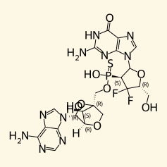 Nc1nc2c(ncn2C2O[C@H](CO)C(F)(F)[C@H]2P(O)(=S)OC[C@@]23CO[C@@H]([C@H](n4cnc5c(N)ncnc54)O2)[C@@H]3O)c(=O)[nH]1